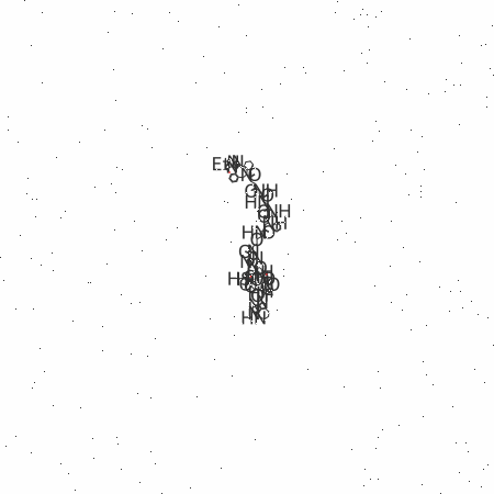 CCC(C)(C)n1nnc2c1-c1ccccc1CN(C(=O)CCC(=O)NCC(=O)NCC(=O)N[C@@H](Cc1ccccc1)C(=O)NCC(=O)NCOCCn1cnc3c(ncn3[C@@H]3O[C@@H]4CO[P](=O)O[C@H]5[C@@H](F)[C@H](n6cc7c8c(ncnc86)NCCC7)O[C@@H]5CO[P@@](=O)(S)O[C@@H]3[C@@H]4O)c1=O)C1=C2CCC=C1